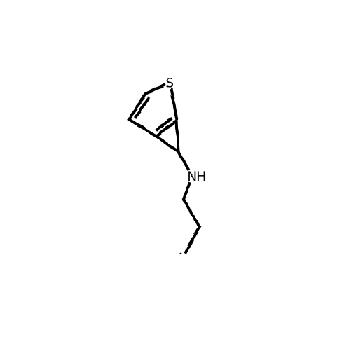 [CH2]CCNC1c2ccsc21